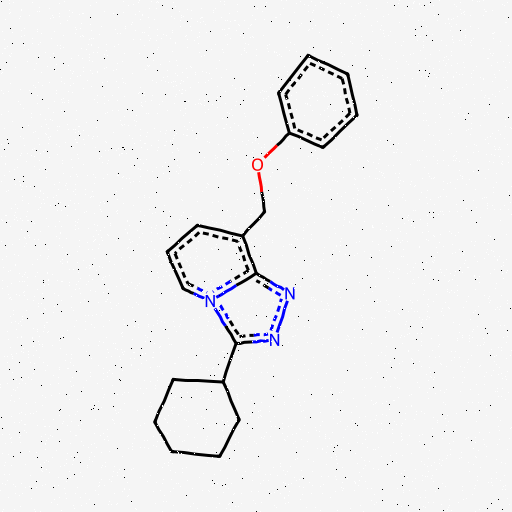 c1ccc(OCc2cccn3c(C4CCCCC4)nnc23)cc1